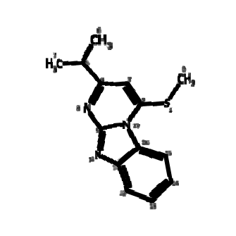 CSc1cc(C(C)C)nc2nc3ccccc3n12